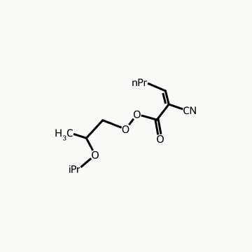 CCCC=C(C#N)C(=O)OOCC(C)OC(C)C